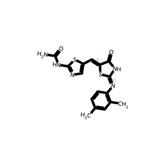 Cc1ccc(/N=C2/NC(=O)/C(=C/c3cnc(NC(N)=O)s3)S2)c(C)c1